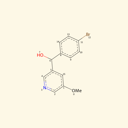 COc1cncc(C(O)c2ccc(Br)cc2)c1